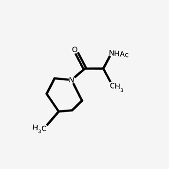 CC(=O)NC(C)C(=O)N1CCC(C)CC1